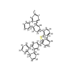 Cc1ccc2c(c1)c1ccccc1c1ccc(-c3cccc4c3sc3c(-c5ccc6c7ccccc7c7ccccc7c6c5)cccc34)cc12